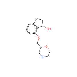 OC1CCc2cccc(OCC3CNCCO3)c21